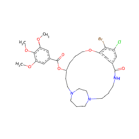 COc1cc(C(=O)OC2CCCOc3cc(cc(Cl)c3Br)C(=O)NCCCN3CCCN(CC2)CC3)cc(OC)c1OC